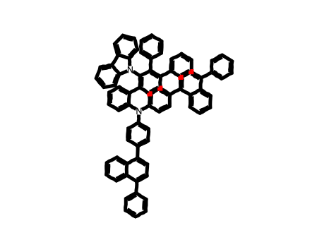 c1ccc(-c2ccc(-c3ccccc3N(c3ccc(-c4ccc(-c5ccccc5)c5ccccc45)cc3)c3ccc(-c4ccc(-c5ccccc5)c5ccccc45)cc3)c(-n3c4ccccc4c4ccccc43)c2-c2ccccc2)cc1